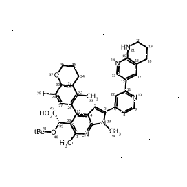 Cc1nc2c(cc(-c3ccnc(-c4cnc5c(c4)CCCN5)c3)n2C)c(-c2cc(F)c3c(c2C)CCCO3)c1[C@H](OC(C)(C)C)C(=O)O